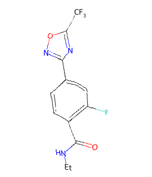 CCNC(=O)c1ccc(-c2noc(C(F)(F)F)n2)cc1F